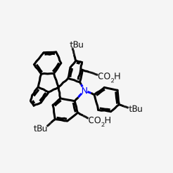 CC(C)(C)c1ccc(N2c3c(C(=O)O)cc(C(C)(C)C)cc3C3(c4ccccc4-c4ccccc43)c3cc(C(C)(C)C)cc(C(=O)O)c32)cc1